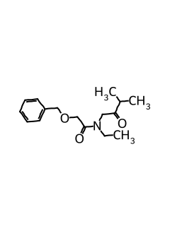 CCN(CC(=O)C(C)C)C(=O)COCc1ccccc1